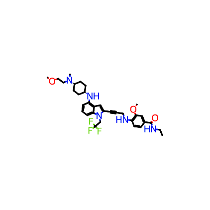 CCNC(=O)c1ccc(NCC#Cc2cc3c(N[C@H]4CC[C@@H](N(C)CCOC)CC4)cccc3n2CC(F)(F)F)c(OC)c1